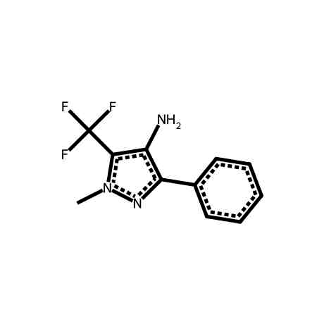 Cn1nc(-c2ccccc2)c(N)c1C(F)(F)F